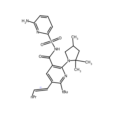 CCC/C=C/c1cc(C(=O)NS(=O)(=O)c2cccc(N)n2)c(N2CC(C)CC2(C)C)nc1C(C)(C)C